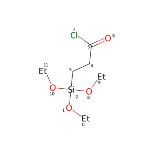 CCO[Si](CCC(=O)Cl)(OCC)OCC